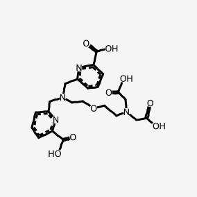 O=C(O)CN(CCOCCN(Cc1cccc(C(=O)O)n1)Cc1cccc(C(=O)O)n1)CC(=O)O